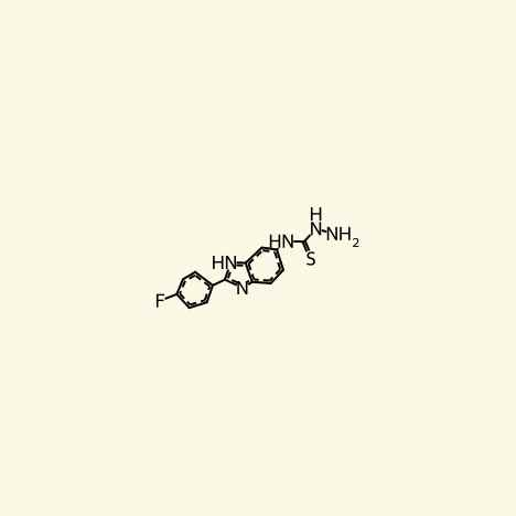 NNC(=S)Nc1ccc2nc(-c3ccc(F)cc3)[nH]c2c1